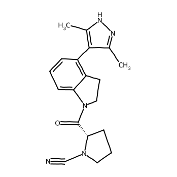 Cc1n[nH]c(C)c1-c1cccc2c1CCN2C(=O)[C@@H]1CCCN1C#N